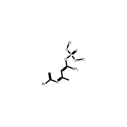 C=C(/N=C(C)\C=C(/N)OP(=S)(OCC)OCC)C(C)C